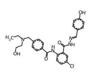 CCN(CCO)Cc1ccc(C(=O)Nc2ccc(Cl)cc2C(=O)N/N=C/c2ccc(O)cc2)cc1